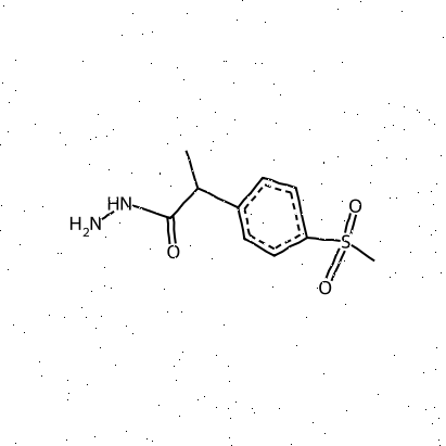 CC(C(=O)NN)c1ccc(S(C)(=O)=O)cc1